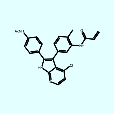 C=CC(=O)Nc1cc(-c2c(-c3ccc(NC(C)=O)cc3)[nH]c3nccc(Cl)c23)ccc1C